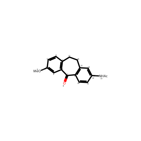 COc1ccc2c(c1)C(=O)c1ccc(NC(C)=O)cc1CC2